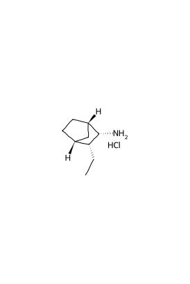 CC[C@@H]1[C@@H]2CC[C@@H](C2)[C@@H]1N.Cl